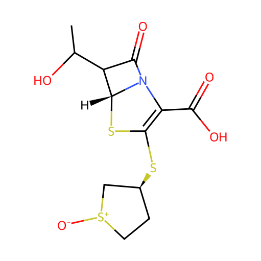 CC(O)C1C(=O)N2C(C(=O)O)=C(S[C@H]3CC[S+]([O-])C3)S[C@H]12